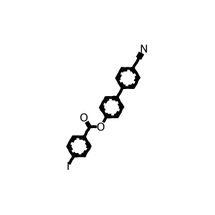 N#Cc1ccc(-c2ccc(OC(=O)c3ccc(I)cc3)cc2)cc1